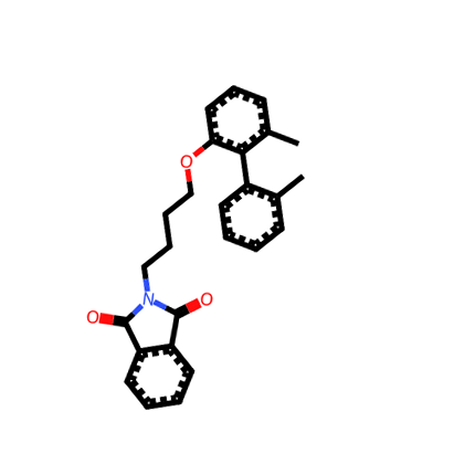 Cc1ccccc1-c1c(C)cccc1OCCCCN1C(=O)c2ccccc2C1=O